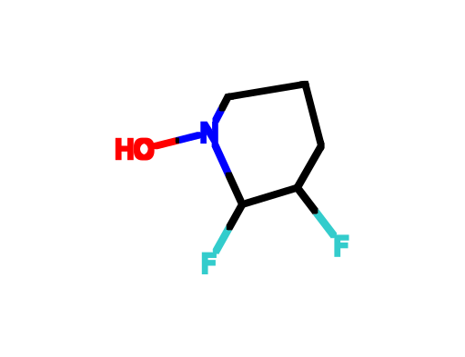 ON1CCCC(F)C1F